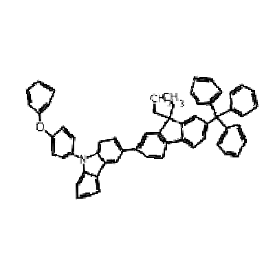 CCC1(CC)c2cc(-c3ccc4c(c3)c3ccccc3n4-c3ccc(Oc4ccccc4)cc3)ccc2-c2ccc(C(c3ccccc3)(c3ccccc3)c3ccccc3)cc21